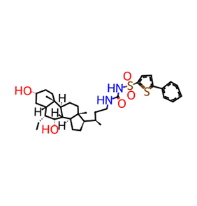 CC[C@H]1[C@@H](O)[C@@H]2[C@H](CC[C@]3(C)[C@@H]([C@H](C)CCNC(=O)NS(=O)(=O)c4ccc(-c5ccccc5)s4)CC[C@@H]23)[C@@]2(C)CC[C@@H](O)C[C@@H]12